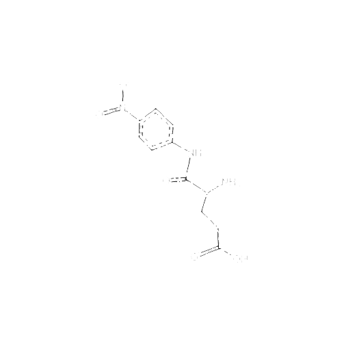 NC(CCC(=O)O)C(=O)Nc1ccc([N+](=O)[O-])cc1